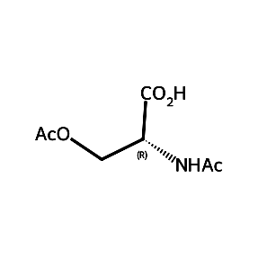 CC(=O)N[C@H](COC(C)=O)C(=O)O